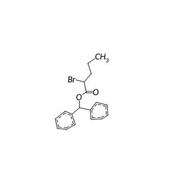 CCCC(Br)C(=O)OC(c1ccccc1)c1ccccc1